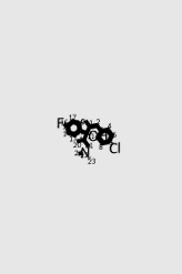 CC(=Cc1ccc(Cl)cc1)C(O)(c1ccc(F)cc1)C(C)CN(C)C